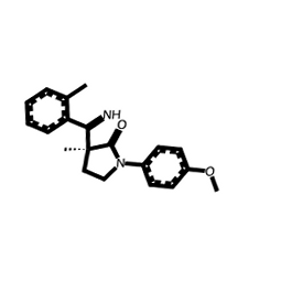 COc1ccc(N2CC[C@@](C)(C(=N)c3ccccc3C)C2=O)cc1